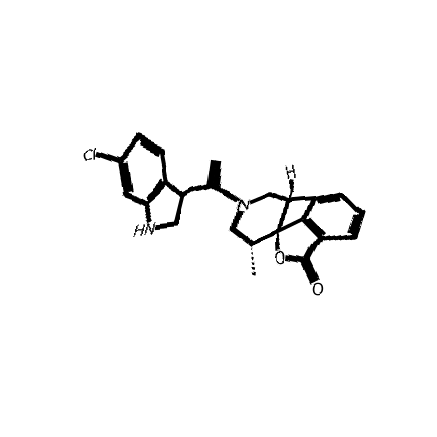 C=C(C1CNc2cc(Cl)ccc21)N1C[C@@H](C)[C@@]23OC(=O)c4cccc(c42)[C@H]3C1